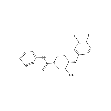 CC1CN(C(=O)Nc2cccnn2)CCC1=Cc1ccc(F)c(F)c1